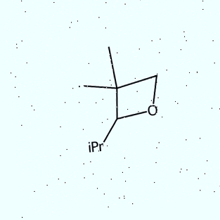 [CH2]C1(C)COC1C(C)C